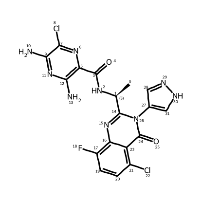 C[C@H](NC(=O)c1nc(Cl)c(N)nc1N)c1nc2c(F)ccc(Cl)c2c(=O)n1-c1cn[nH]c1